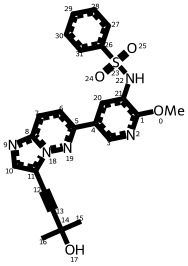 COc1ncc(-c2ccc3ncc(C#CC(C)(C)O)n3n2)cc1NS(=O)(=O)c1ccccc1